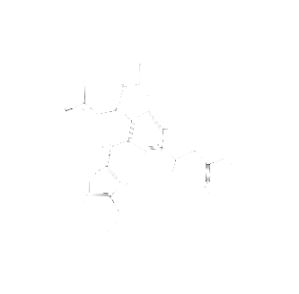 COc1nsc(Nc2cc(C(C)CC(=O)O)ccc2N(CC(C)C)CC(C)C)n1